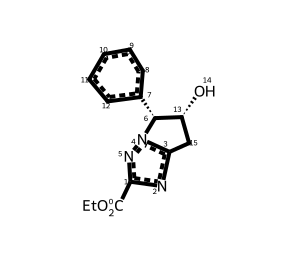 CCOC(=O)c1nc2n(n1)[C@H](c1ccccc1)[C@H](O)C2